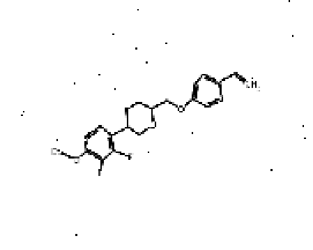 C=Cc1ccc(OCC2CCC(c3ccc(OCC)c(F)c3F)CO2)cc1